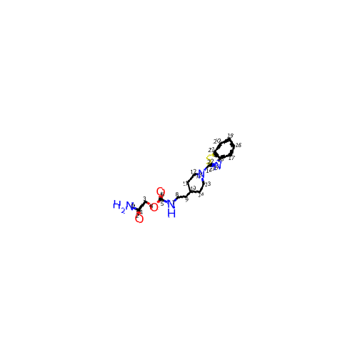 NC(=O)COC(=O)NCCC1CCN(c2nc3ccccc3s2)CC1